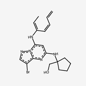 C=C/C=C\C(=C/C)Nc1cc(NC2(CO)CCCC2)nc2c(Br)cnn12